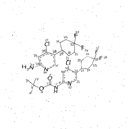 CC(C)(C)OC(=O)Nc1cc(Cl)c(C2CCC(F)(F)CC2)cn1.Nc1cc(Cl)c(C2CCC(F)(F)CC2)cn1